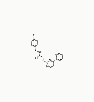 O=C(CSc1nccc(-c2ccccn2)n1)NCc1ccc(F)cc1